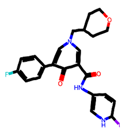 O=C(NC1=CNC(I)C=C1)c1cn(CC2CCOCC2)cc(-c2ccc(F)cc2)c1=O